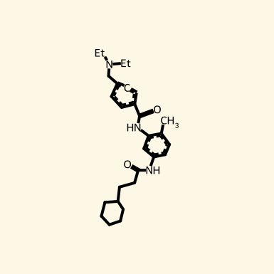 CCN(CC)Cc1ccc(C(=O)Nc2cc(NC(=O)CCC3CCCCC3)ccc2C)cc1